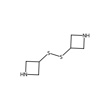 C1NCC1SSC1CNC1